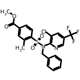 COC(=O)c1ccc(S(=O)(=O)N(Cc2ccccc2)c2ncc(C(F)(F)F)cc2Cl)c(C)c1